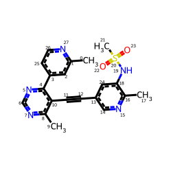 Cc1cc(-c2ncnc(C)c2C#Cc2cnc(C)c(NS(C)(=O)=O)c2)ccn1